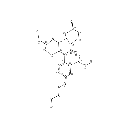 CCCCOc1ccc(N(C(=O)[C@H]2CC[C@H](C)CC2)C2CCC(OC)CC2)c(C(=O)OC)c1